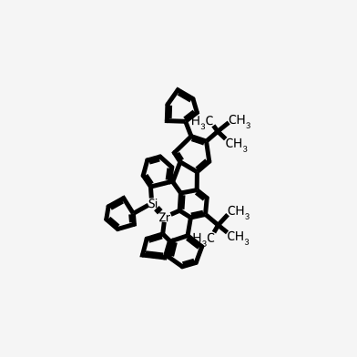 CC(C)(C)c1cc2c(cc1-c1ccccc1)Cc1c-2cc(C(C)(C)C)c(-c2ccccc2)[c]1[Zr]([C]1=CC=CC1)=[Si](c1ccccc1)c1ccccc1